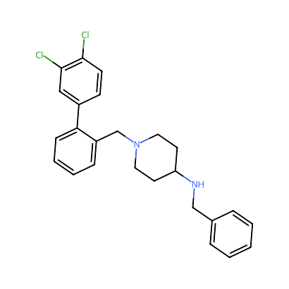 Clc1ccc(-c2ccccc2CN2CCC(NCc3ccccc3)CC2)cc1Cl